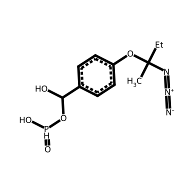 CCC(C)(N=[N+]=[N-])Oc1ccc(C(O)O[PH](=O)O)cc1